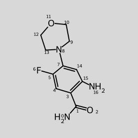 NC(=O)c1cc(F)c(N2CCOCC2)cc1N